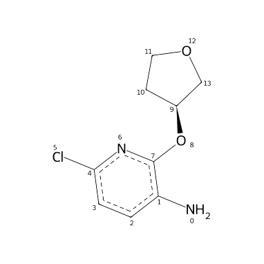 Nc1ccc(Cl)nc1O[C@H]1CCOC1